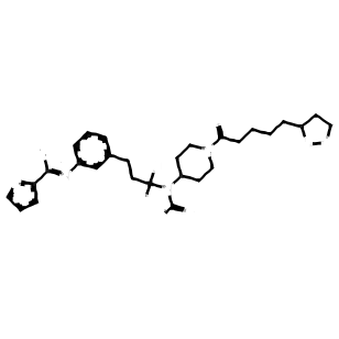 CC(C)(CCc1cccc(N=C(N)c2cccs2)c1)N(C(=O)O)C1CCN(C(=O)CCCCC2CCSS2)CC1